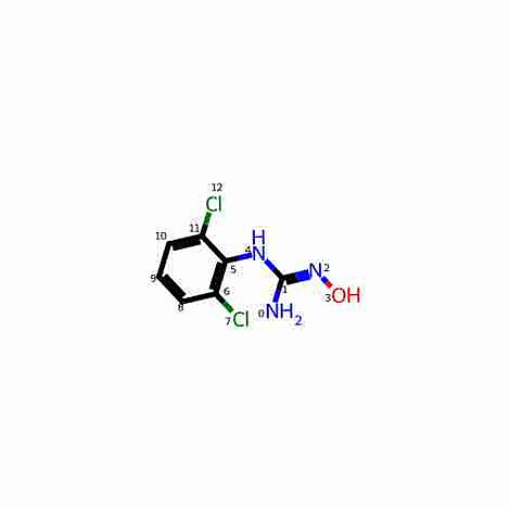 N/C(=N\O)Nc1c(Cl)cccc1Cl